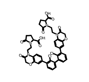 O=C(O)C1CCC(=O)N1CCN1C(=O)COc2cc(-c3cccc(-c4cccc(-c5ccc6c(c5)OCC(=O)N6CCN5C(=O)CCC5C(=O)O)c4Cl)c3Cl)ccc21